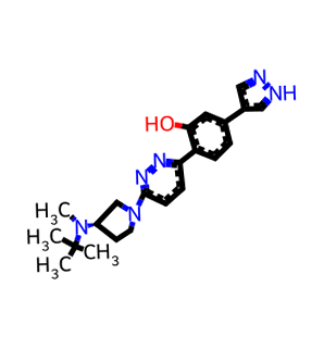 CN([C@@H]1CCN(c2ccc(-c3ccc(-c4cn[nH]c4)cc3O)nn2)C1)C(C)(C)C